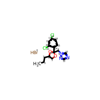 Br.CCCC1COC(Cn2cncn2)(c2ccc(Cl)cc2Cl)O1